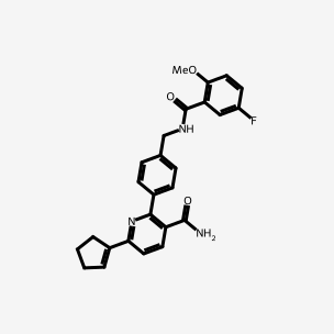 COc1ccc(F)cc1C(=O)NCc1ccc(-c2nc(C3=CCCC3)ccc2C(N)=O)cc1